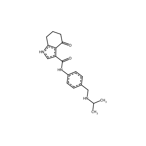 CC(C)NCc1ccc(NC(=O)c2c[nH]c3c2C(=O)CCC3)cc1